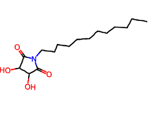 CCCCCCCCCCCCN1C(=O)C(O)C(O)C1=O